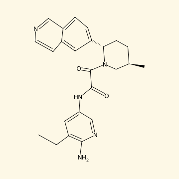 CCc1cc(NC(=O)C(=O)N2C[C@H](C)CC[C@H]2c2ccc3cnccc3c2)cnc1N